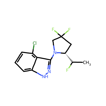 CC(F)[C@H]1CC(F)(F)CN1c1n[nH]c2cccc(Cl)c12